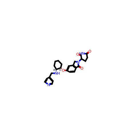 O=C1CCC(N2Cc3cc(O[C@H]4CCCC[C@H]4NCc4ccncc4)ccc3C2=O)C(=O)N1